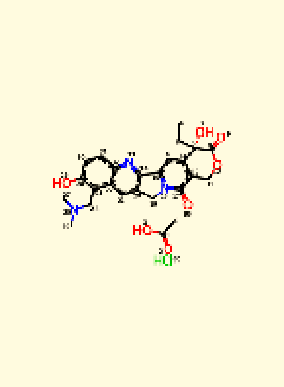 CC(=O)O.CC[C@@]1(O)C(=O)OCc2c1cc1n(c2=O)Cc2cc3c(CN(C)C)c(O)ccc3nc2-1.Cl